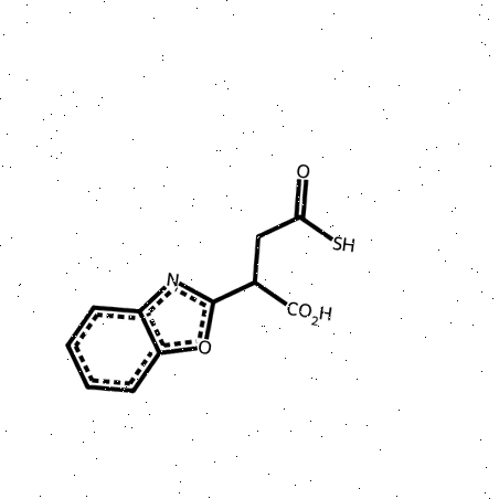 O=C(S)CC(C(=O)O)c1nc2ccccc2o1